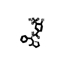 CN1CCC[C@H]1[C@@H](NC(=O)c1ccc(Cl)c(S(N)(=O)=O)c1)c1ccccc1